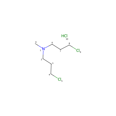 CN(CCCCl)CCCCl.Cl